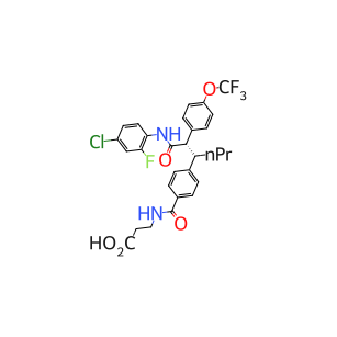 CCCC(c1ccc(C(=O)NCCC(=O)O)cc1)[C@H](C(=O)Nc1ccc(Cl)cc1F)c1ccc(OC(F)(F)F)cc1